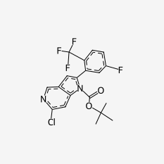 CC(C)(C)OC(=O)n1c(-c2cc(F)ccc2C(F)(F)F)cc2cnc(Cl)cc21